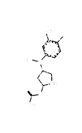 CCN(c1ccc(I)c(OC)c1)[C@H]1CNC(OC(=O)C(C)(C)C)C1